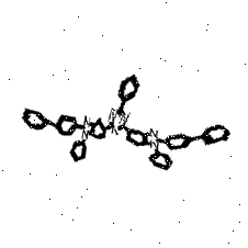 c1ccc(-c2ccc(-c3nc4cc(-c5nc(-c6ccccc6)nc(-c6ccc7c(c6)nc(-c6ccc(-c8ccccc8)cc6)n7-c6ccccc6)n5)ccc4n3-c3ccccc3)cc2)cc1